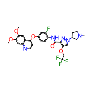 COc1cc2nccc(Oc3ccc(NC(=O)c4nn(C5CCN(C)C5)cc4OCC(F)(F)F)c(F)c3)c2cc1OC